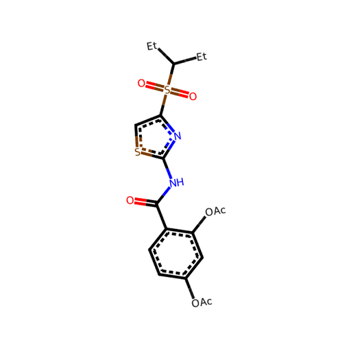 CCC(CC)S(=O)(=O)c1csc(NC(=O)c2ccc(OC(C)=O)cc2OC(C)=O)n1